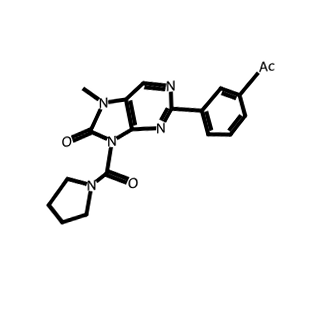 CC(=O)c1cccc(-c2ncc3c(n2)n(C(=O)N2CCCC2)c(=O)n3C)c1